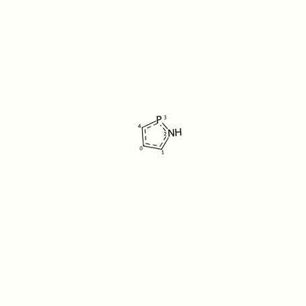 c1c[nH]pc1